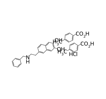 Cc1ccc(C(=O)O)cc1.Cc1ccc(C(=O)O)cc1.Cl.Oc1cc2ccc(CCNCc3ccccc3)cc2cc1O